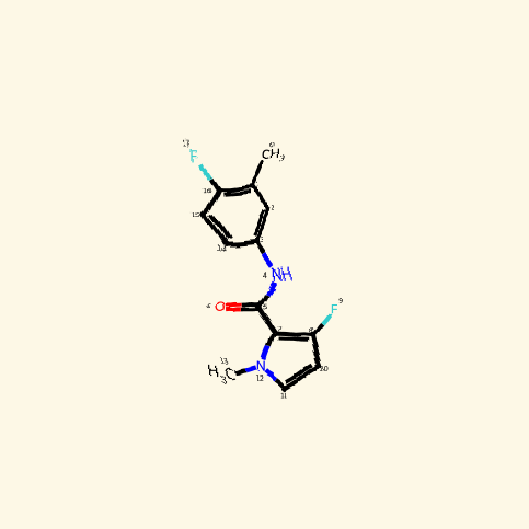 Cc1cc(NC(=O)c2c(F)ccn2C)ccc1F